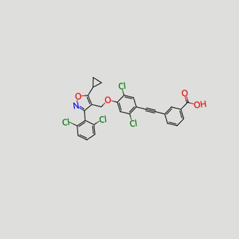 O=C(O)c1cccc(C#Cc2cc(Cl)c(OCc3c(-c4c(Cl)cccc4Cl)noc3C3CC3)cc2Cl)c1